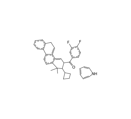 C1=CC=CNC=C1.CC1(C)c2ccc3c(c2=CC(C(=O)c2ccc(F)c(F)c2)C1C1CCC1)=CCc1ccccc1-3